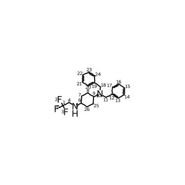 FC(F)(F)CNC1CCC(N(Cc2ccccc2)Cc2ccccc2)CC1